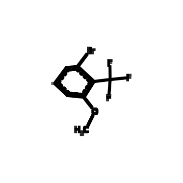 COc1c[c]cc(Br)c1C(F)(F)F